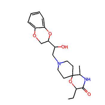 CCC1OC2(CCN(CC(O)C3COc4ccccc4O3)CC2)C(C)NC1=O